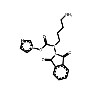 NCCCCN(C(=O)On1ccnc1)N1C(=O)c2ccccc2C1=O